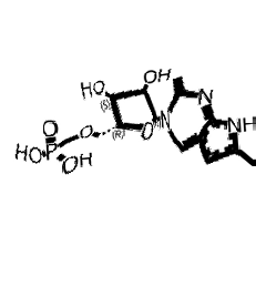 C=C1N=c2[nH]c(C)cc2=CN1[C@@H]1O[C@H](COP(=O)(O)O)[C@@H](O)C1O